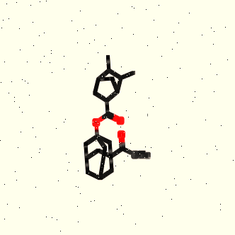 COC(=O)C12CC3CC(CC(OC(=O)C4CC5CC4C(C)C5C)(C3)C1)C2